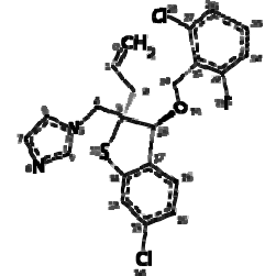 C=CC[C@@]1(Cn2ccnc2)Sc2cc(Cl)ccc2[C@@H]1OCc1c(F)cccc1Cl